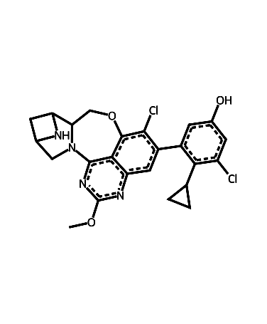 COc1nc2c3c(c(Cl)c(-c4cc(O)cc(Cl)c4C4CC4)cc3n1)OCC1C3CC(CN21)N3